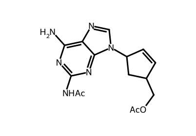 CC(=O)Nc1nc(N)c2ncn(C3C=CC(COC(C)=O)C3)c2n1